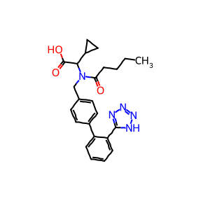 CCCCC(=O)N(Cc1ccc(-c2ccccc2-c2nnn[nH]2)cc1)C(C(=O)O)C1CC1